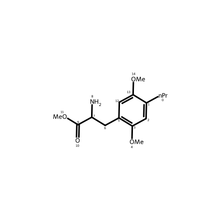 CCCc1cc(OC)c(CC(N)C(=O)OC)cc1OC